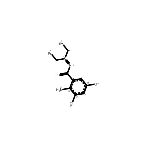 CC(C)CS(CC(C)C)=NC(=O)c1cc(Cl)cc(Cl)c1N